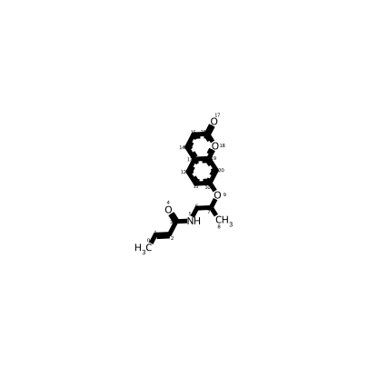 CC=CC(=O)NCC(C)Oc1ccc2ccc(=O)oc2c1